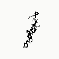 C#CC(F)C(/C=C\CNC(=O)C(=O)NCC(O)c1ccccc1)Oc1ccnc2cc(OCC3CCNCC3)c(OC)cc12